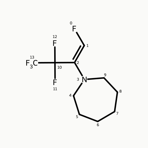 F/C=C(/N1CCCCCC1)C(F)(F)C(F)(F)F